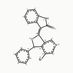 O=C1Nc2ccccc2/C1=C1\OC(c2ccccc2)c2c(Br)cncc21